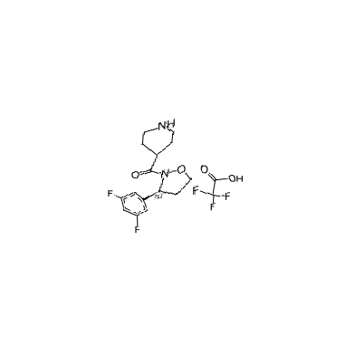 O=C(C1CCNCC1)N1OCC[C@H]1c1cc(F)cc(F)c1.O=C(O)C(F)(F)F